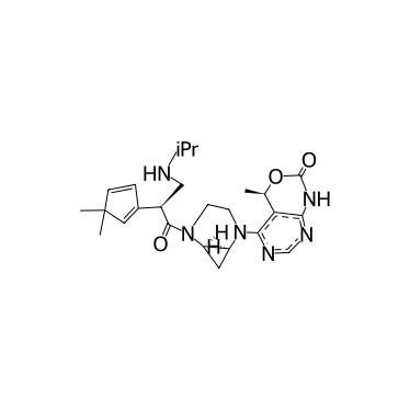 CC(C)NC[C@@H](C(=O)N1CCN(c2ncnc3c2[C@@H](C)OC(=O)N3)[C@H]2C[C@H]21)C1=CC(C)(C)C=C1